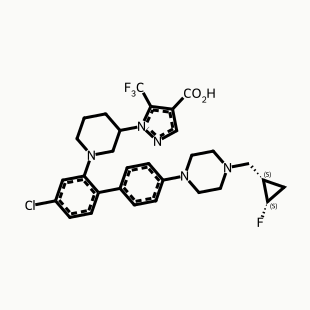 O=C(O)c1cnn(C2CCCN(c3cc(Cl)ccc3-c3ccc(N4CCN(C[C@@H]5C[C@@H]5F)CC4)cc3)C2)c1C(F)(F)F